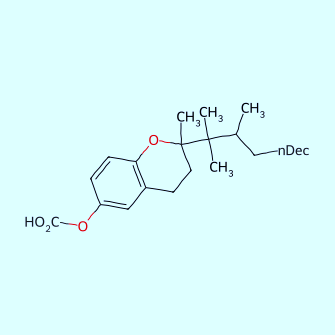 CCCCCCCCCCCC(C)C(C)(C)C1(C)CCc2cc(OC(=O)O)ccc2O1